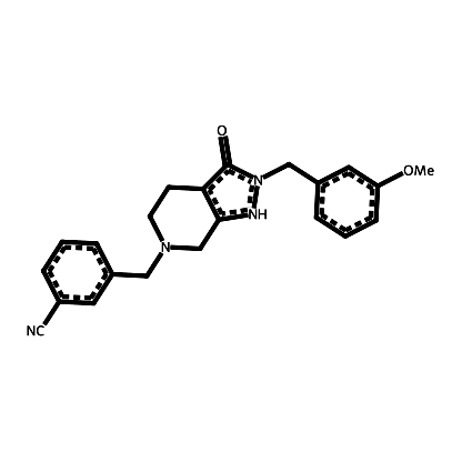 COc1cccc(Cn2[nH]c3c(c2=O)CCN(Cc2cccc(C#N)c2)C3)c1